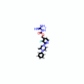 CC1CN(c2nccc(COC(=O)NC(=N)N)c2F)CCN1c1ccccc1